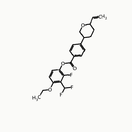 C=CC1CCC(c2ccc(C(=O)Oc3ccc(OCC)c(C(F)F)c3F)cc2)CO1